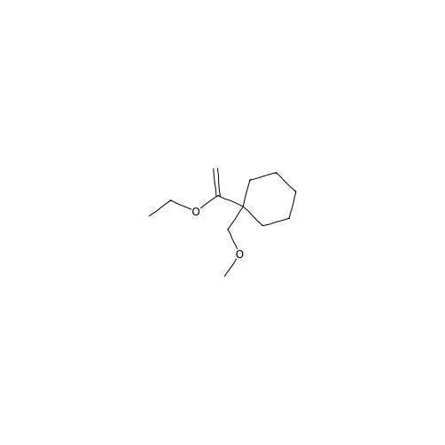 C=C(OCC)C1(COC)CCCCC1